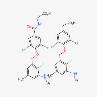 Cc1cc(COc2c(Cl)cc(C(=O)NCC(=O)O)cc2Cl)c(F)c(NC(C)C)c1.Cc1cc(COc2c(Cl)cc(CC(=O)O)cc2Cl)c(F)c(NC(C)C)c1